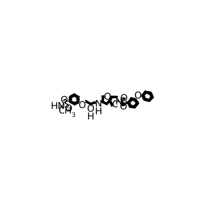 CNS(=O)(=O)c1cccc(OC[C@@H](O)CNC2COC3(CCN(S(=O)(=O)c4cccc(Oc5ccccc5)c4)CC3)C2)c1